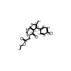 CCOC(=O)Cn1cnc2sc(C)c(-c3ccc(Cl)cc3)c2c1=O